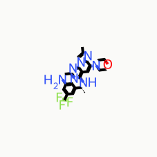 Cc1cn2c(n1)c(N1CCOCC1)cc1c(N[C@H](C)c3cc(N)cc(C(F)(F)F)c3)nc(C)nc12